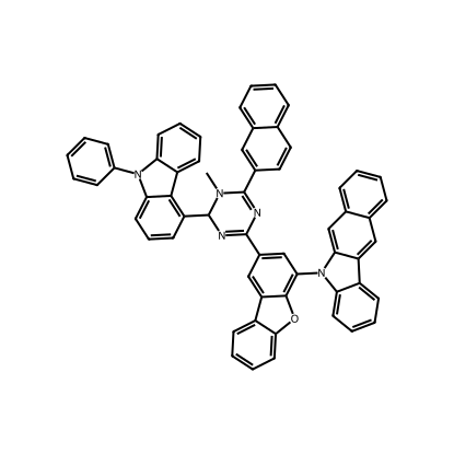 CN1C(c2ccc3ccccc3c2)=NC(c2cc(-n3c4ccccc4c4cc5ccccc5cc43)c3oc4ccccc4c3c2)=NC1c1cccc2c1c1ccccc1n2-c1ccccc1